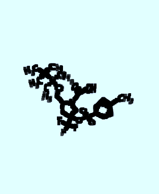 Cc1ccc(S(=O)(=O)OC2(C(F)(F)F)CC(CO[Si](C)(C)C(C)(C)C)N(C(=O)O)C2)cc1